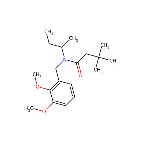 CCC(C)N(Cc1cccc(OC)c1OC)C(=O)CC(C)(C)C